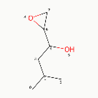 CC(C)CC(O)C1CO1